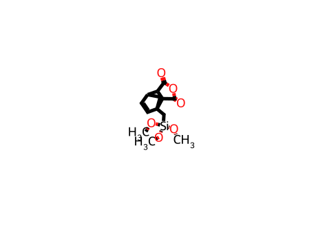 CO[Si](CC12C=CC(C1)C1C(=O)OC(=O)C12)(OC)OC